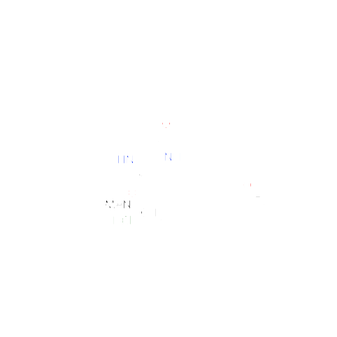 CCOc1ccc(C=c2[nH]c(=O)c(=Cc3ccccc3)[nH]c2=O)cc1.CNC.Cl